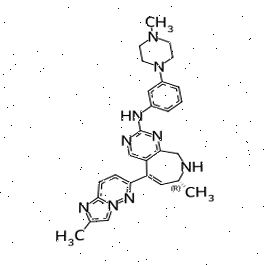 Cc1cn2nc(C3=C[C@@H](C)NCc4nc(Nc5cccc(N6CCN(C)CC6)c5)ncc43)ccc2n1